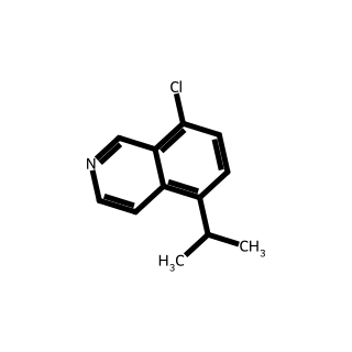 CC(C)c1ccc(Cl)c2cnccc12